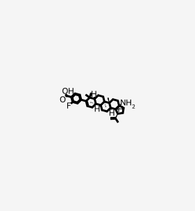 C=C(C)[C@@H]1CC[C@]2(N)CC[C@]3(C)[C@H](CC[C@@H]4[C@@]5(C)CC=C(c6ccc(C(=O)O)c(F)c6)C(C)(C)[C@@H]5CC[C@]43C)[C@@H]12